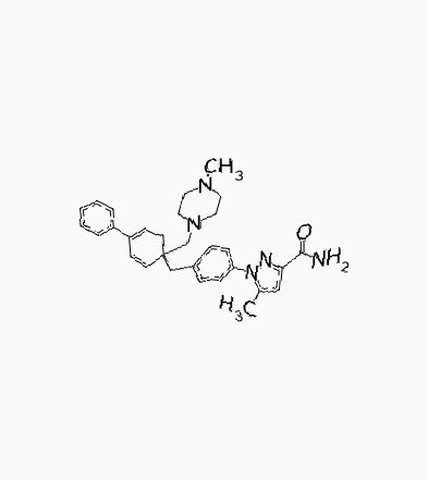 Cc1cc(C(N)=O)nn1-c1ccc(CC2(CN3CCN(C)CC3)C=CC(c3ccccc3)=CC2)cc1